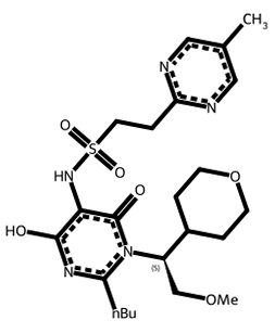 CCCCc1nc(O)c(NS(=O)(=O)CCc2ncc(C)cn2)c(=O)n1[C@H](COC)C1CCOCC1